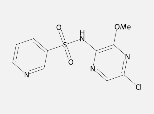 COc1nc(Cl)cnc1NS(=O)(=O)c1cccnc1